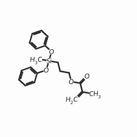 C=C(C)C(=O)OCCC[Si](C)(Oc1ccccc1)Oc1ccccc1